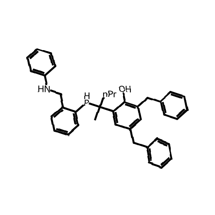 CCCC(C)(Pc1ccccc1CNc1ccccc1)c1cc(Cc2ccccc2)cc(Cc2ccccc2)c1O